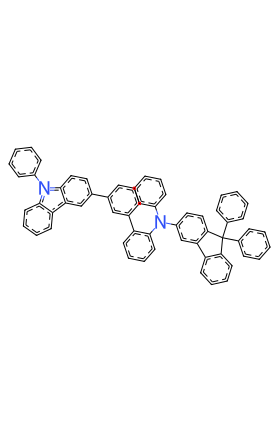 c1ccc(N(c2ccc3c(c2)-c2ccccc2C3(c2ccccc2)c2ccccc2)c2ccccc2-c2cccc(-c3ccc4c(c3)c3ccccc3n4-c3ccccc3)c2)cc1